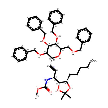 CCCCCCCCCCCCCC[C@H]1OC(C)(C)O[C@H]1[C@H](/C=C/[C@H]1OC(COCc2ccccc2)[C@H](OCc2ccccc2)[C@H](OCc2ccccc2)C1OCc1ccccc1)NC(=O)OC(C)(C)C